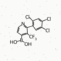 OB(O)c1ccnc(-c2cc(Cl)c(Cl)cc2Cl)c1C(F)(F)F